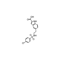 O=C(O)c1cc2cc(CCNS(=O)(=O)c3ccc(Cl)cc3)ccc2[nH]1